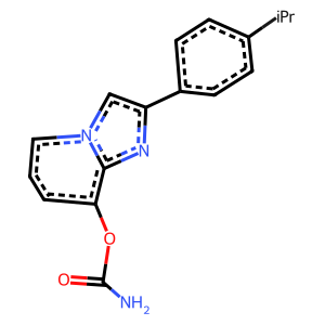 CC(C)c1ccc(-c2cn3cccc(OC(N)=O)c3n2)cc1